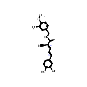 COc1ccc(CNC(=O)/C(C#N)=C/C=C/c2ccc(O)c(O)c2)cc1C